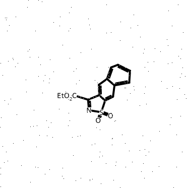 CCOC(=O)C1=NS(=O)(=O)c2cc3ccccc3cc21